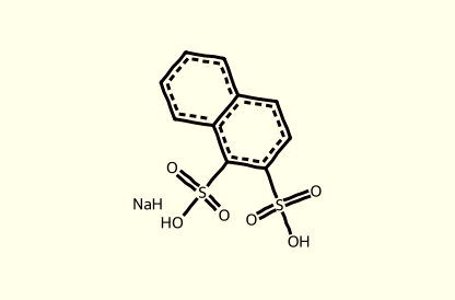 O=S(=O)(O)c1ccc2ccccc2c1S(=O)(=O)O.[NaH]